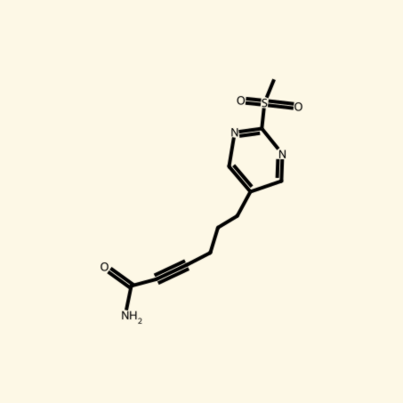 CS(=O)(=O)c1ncc(CCCC#CC(N)=O)cn1